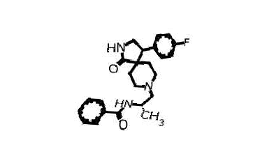 C[C@@H](CN1CCC2(CC1)C(=O)NCC2c1ccc(F)cc1)NC(=O)c1ccccc1